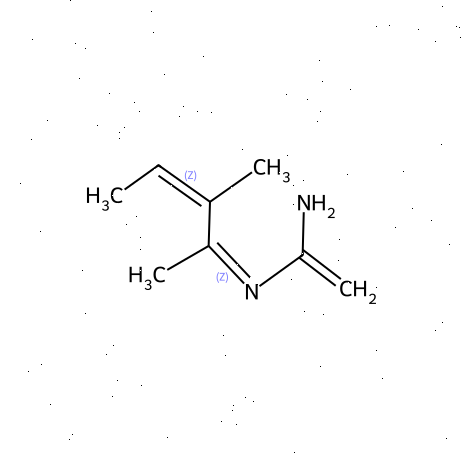 C=C(N)/N=C(C)\C(C)=C/C